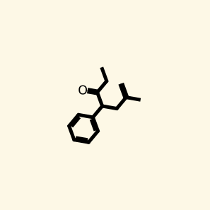 C=C(C)CC(C(=O)CC)c1ccccc1